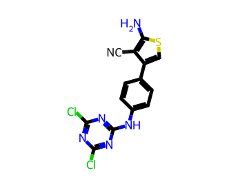 N#Cc1c(-c2ccc(Nc3nc(Cl)nc(Cl)n3)cc2)csc1N